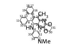 CNc1ccc(Nc2c(-c3ccccc3)c(-c3ccccc3)c(C)c3nc4c(nc23)OCCO4)cc1